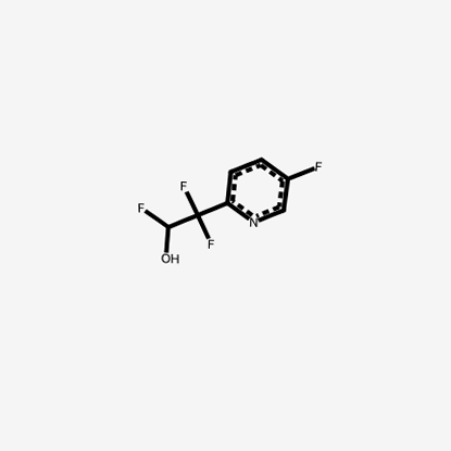 OC(F)C(F)(F)c1ccc(F)cn1